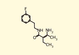 CCC(C(=O)NCCc1cccc(F)c1)=C(C)N